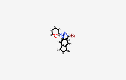 Brc1nn(C2CCCCO2)c2cc3c(cc12)CCC3